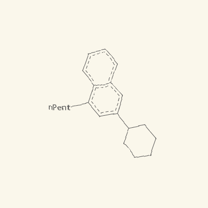 [CH2]CCCCc1cc(C2CCCCC2)cc2ccccc12